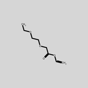 C=COC(=O)COCCOCC